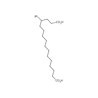 CC(C)C(CCCCCCCCCCCC(=O)O)CCC(=O)O